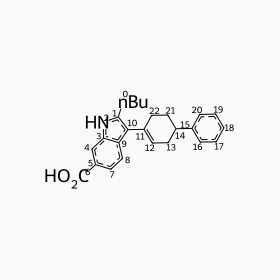 CCCCc1[nH]c2cc(C(=O)O)ccc2c1C1=CCC(c2ccccc2)CC1